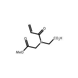 C=CC(=O)N(CC(=O)O)CC(=O)OC